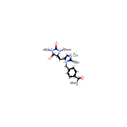 CCCCCN1C(=O)N(CCCC)C(=O)C1=Cc1cnc(CCCC)n1Cc1ccc(C(=O)OC)cc1.Cl